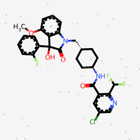 COc1cccc2c1C(O)(c1ccccc1F)C(=O)N2C[C@H]1CC[C@H](NC(=O)c2cc(Cl)cnc2C(F)F)CC1